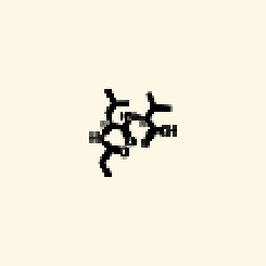 CCC(=O)N[C@@H](CC(C)C)C(=O)N[C@H](C(=O)O)C(C)C